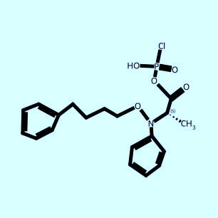 C[C@@H](C(=O)OP(=O)(O)Cl)N(OCCCCc1ccccc1)c1ccccc1